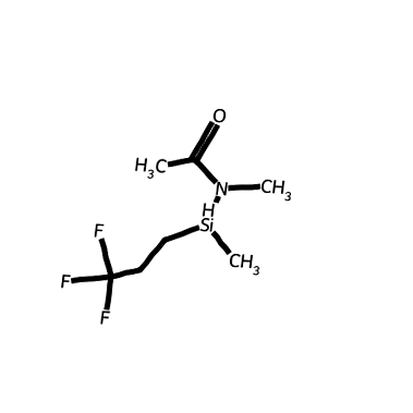 CC(=O)N(C)[SiH](C)CCC(F)(F)F